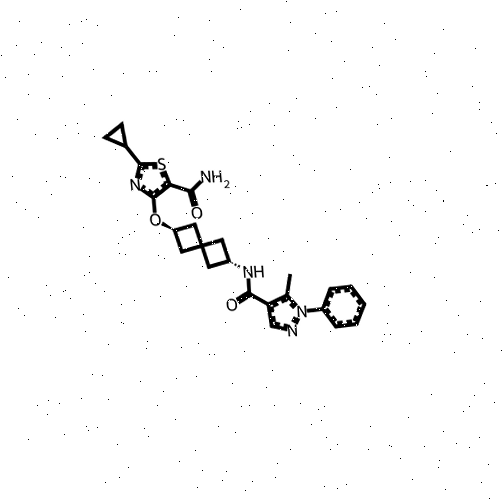 Cc1c(C(=O)N[C@H]2CC3(C2)C[C@H](Oc2nc(C4CC4)sc2C(N)=O)C3)cnn1-c1ccccc1